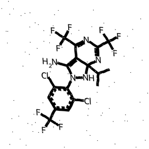 CC(C)C12N=C(C(F)(F)F)N=C(C(F)(F)F)C1=C(N)N(c1c(Cl)cc(C(F)(F)F)cc1Cl)N2